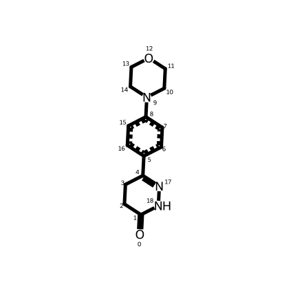 O=C1CCC(c2ccc(N3CCOCC3)cc2)=NN1